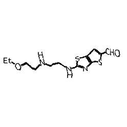 CCOCCNCCNc1nc2sc(C=O)cc2s1